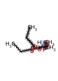 CCCCCCCC/C=C\CCCCCCCC(=O)OCC(COC(=O)CCNC(=O)C1OC(C)(C)OCC1(C)C)OC(=O)CCCCCCC/C=C\CCCCCCCC